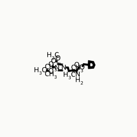 COC(=O)[C@@H]1CN(CCC(C)(C)[C@H](N)C(=O)OCc2ccccc2)CCN1C(=O)OC(C)(C)C